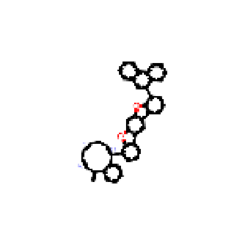 C=C1/C=C\C=C/C/C=C(/c2cccc3c2oc2cc4oc5c(-c6cc7ccccc7c7ccccc67)cccc5c4cc23)c2ccccc21